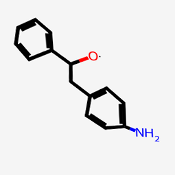 Nc1ccc(CC([O])c2ccccc2)cc1